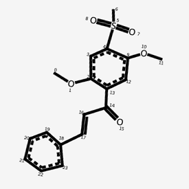 COc1cc(S(C)(=O)=O)c(OC)cc1C(=O)/C=C/c1ccccc1